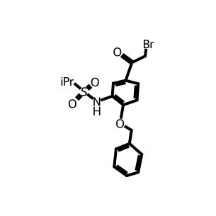 CC(C)S(=O)(=O)Nc1cc(C(=O)CBr)ccc1OCc1ccccc1